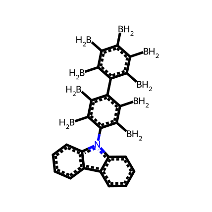 Bc1c(B)c(B)c(-c2c(B)c(B)c(-n3c4ccccc4c4ccccc43)c(B)c2B)c(B)c1B